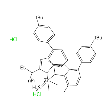 CCCC(CC)C1=Cc2c(-c3ccc(C(C)(C)C)cc3)cccc2[CH]1[Zr]([CH3])([CH3])(=[SiH2])[CH]1C(C)=Cc2c(-c3ccc(C(C)(C)C)cc3)ccc(C)c21.Cl.Cl